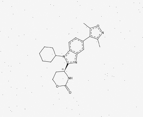 Cc1noc(C)c1-c1ccc2c(c1)nc([C@@H]1CCOC(=O)N1)n2C1CCCCC1